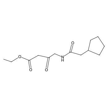 CCOC(=O)CC(=O)CNC(=O)CC1CCCC1